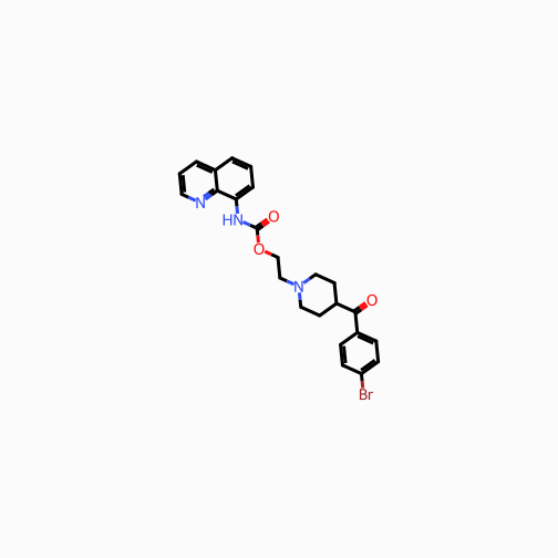 O=C(Nc1cccc2cccnc12)OCCN1CCC(C(=O)c2ccc(Br)cc2)CC1